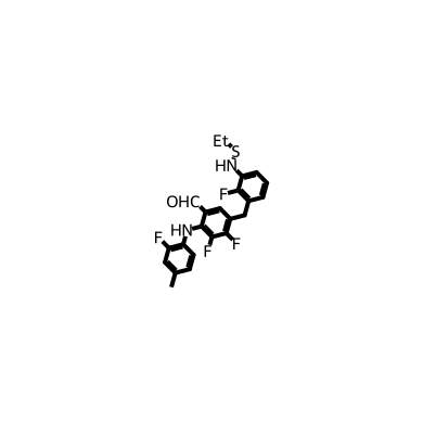 CCSNc1cccc(Cc2cc(C=O)c(Nc3ccc(C)cc3F)c(F)c2F)c1F